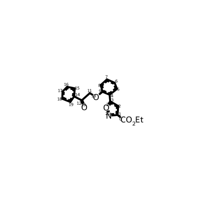 CCOC(=O)c1cc(-c2ccccc2OCC(=O)c2ccccc2)on1